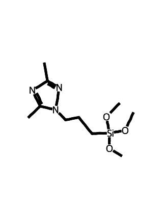 CO[Si](CCCn1nc(C)nc1C)(OC)OC